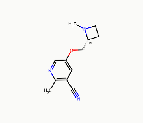 Cc1ncc(OC[C@H]2CCN2C)cc1C#N